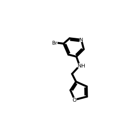 Brc1cncc(NCc2ccoc2)c1